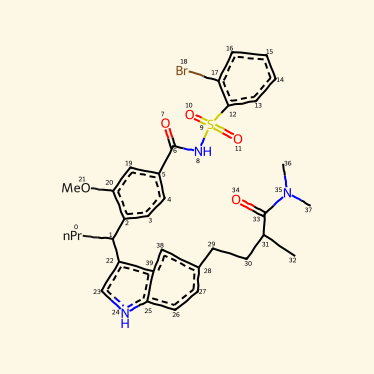 CCCC(c1ccc(C(=O)NS(=O)(=O)c2ccccc2Br)cc1OC)c1c[nH]c2ccc(CCC(C)C(=O)N(C)C)cc12